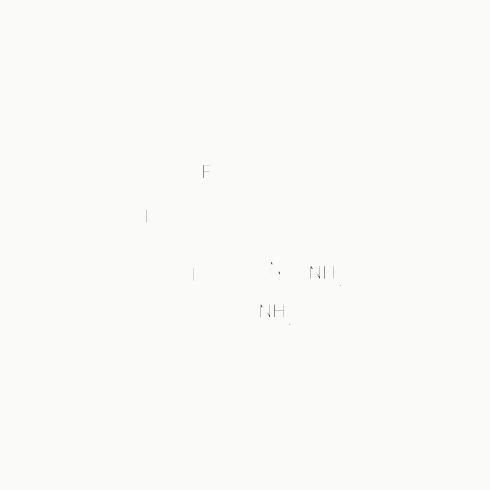 NN(N)CC(F)(F)F